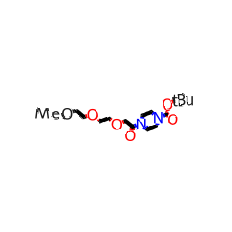 COCCOCCOCC(=O)N1CCN(C(=O)OC(C)(C)C)CC1